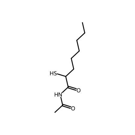 CCCCCCC(S)C(=O)NC(C)=O